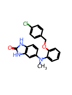 CN(c1ccc2[nH]c(=O)[nH]c2c1)c1ccccc1OCc1ccc(Cl)cc1